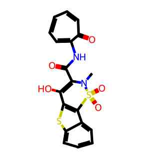 CN1C(C(=O)Nc2cccccc2=O)=C(O)c2sc3ccccc3c2S1(=O)=O